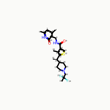 Cc1cc(C)c(CNC(=O)c2csc([C@H](C)C3CCN(CC(C)(F)F)CC3)c2C)c(=O)[nH]1